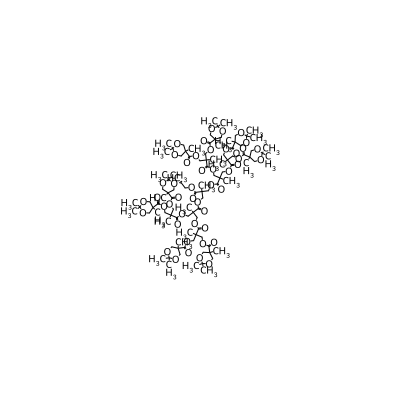 C#CCOC(=O)C(C)(COC(=O)C(C)(COC(=O)C(C)(COC(=O)C1(C)COC(C)(C)OC1)COC(=O)C1(C)COC(C)(C)OC1)COC(=O)C(C)(COC(=O)C1(C)COC(C)(C)OC1)COC(=O)C1(C)COC(C)(C)OC1)COC(=O)C(C)(COC(=O)C(C)(COC(=O)C1(C)COC(C)(C)OC1)COC(=O)C1(C)COC(C)(C)OC1)COC(=O)C(C)(COC(=O)C1(C)COC(C)(C)OC1)COC(=O)C1(C)COC(C)(C)OC1